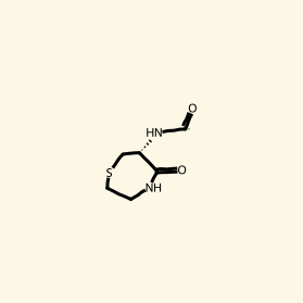 O=[C]N[C@H]1CSCCNC1=O